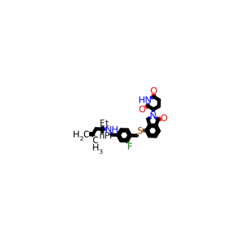 C=C(C)CC(CC)(CCC)NCc1ccc(CSc2cccc3c2CN(C2CCC(=O)NC2=O)C3=O)c(F)c1